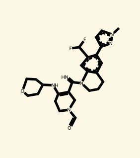 Cn1ccc(-c2cc3c(cc2C(F)F)N(C(=N)C2=C(NC4CCOCC4)CCN(C=O)C2)CCC3)n1